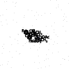 C=N/C(C(=O)N[C@@H](C)C(=O)O[C@@H](C)C(c1ccc(F)cc1C)c1ccc(F)cc1C)=C(OCOC(C)=O)\C(=C/C)OC